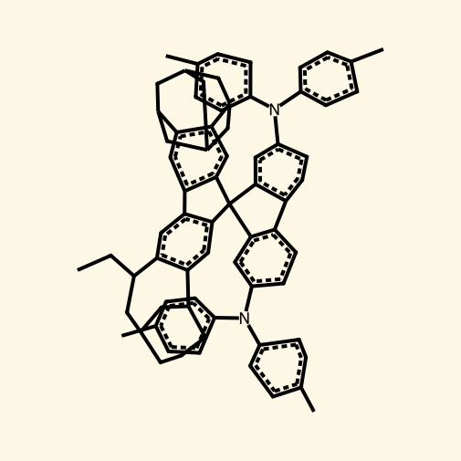 CCC1CC2CCCC(C2)c2cc3c(cc21)-c1cc2c(cc1C31c3cc(N(c4ccc(C)cc4)c4ccc(C)cc4)ccc3-c3ccc(N(c4ccc(C)cc4)c4ccc(C)cc4)cc31)C1CC3CC(CC2C3)C1